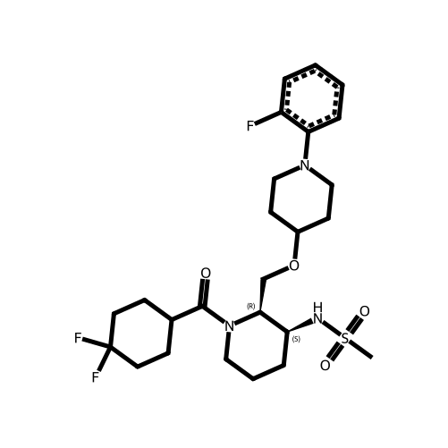 CS(=O)(=O)N[C@H]1CCCN(C(=O)C2CCC(F)(F)CC2)[C@H]1COC1CCN(c2ccccc2F)CC1